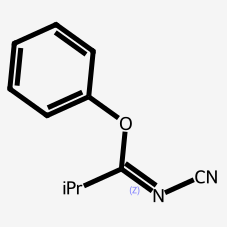 CC(C)/C(=N/C#N)Oc1ccccc1